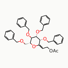 CC(=O)OC/C=C1/O[C@H](COCc2ccccc2)[C@@H](OCc2ccccc2)[C@H](OCc2ccccc2)[C@@H]1OCc1ccccc1